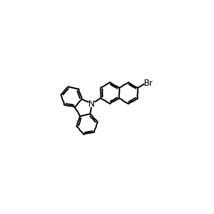 Brc1ccc2cc(-n3c4ccccc4c4ccccc43)ccc2c1